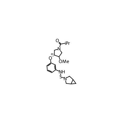 COC1CN(C(=O)C(C)C)C[C@H]1Oc1cccc(NSN2CC3CC3C2)c1